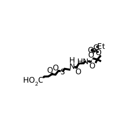 CCOP1(=O)OCC(C)(C)[C@H](C(=O)NCCC(=O)NCCSC(=O)CC(=O)CCC(=O)O)O1